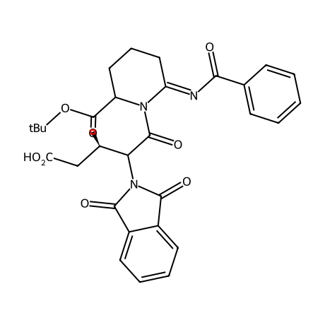 C[C@H](CC(=O)O)C(C(=O)N1/C(=N/C(=O)c2ccccc2)CCCC1C(=O)OC(C)(C)C)N1C(=O)c2ccccc2C1=O